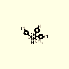 CC(NC(=O)Oc1ccc(Cl)cc1)C(Cc1ccc(Cl)cc1)c1ccc(Cl)cc1